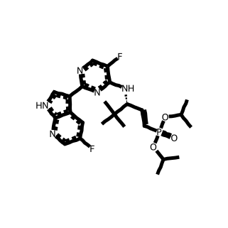 CC(C)OP(=O)(/C=C/[C@@H](Nc1nc(-c2c[nH]c3ncc(F)cc23)ncc1F)C(C)(C)C)OC(C)C